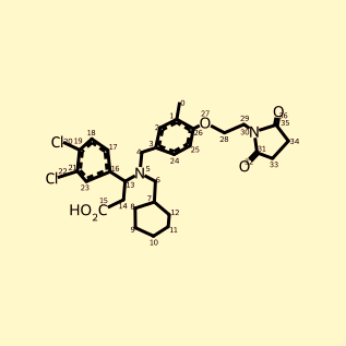 Cc1cc(CN(CC2CCCCC2)C(CC(=O)O)c2ccc(Cl)c(Cl)c2)ccc1OCCN1C(=O)CCC1=O